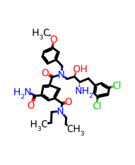 CCCN(CCC)C(=O)c1cc(C(N)=O)cc(C(=O)N(Cc2cccc(OC)c2)C[C@@H](O)[C@@H](N)Cc2cc(Cl)cc(Cl)c2)c1